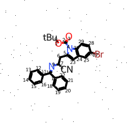 CC(C)(C)OC(=O)n1c(CC(C#N)N=C(c2ccccc2)c2ccccc2)cc2cc(Br)ccc21